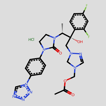 CC(=O)OCN1C=NN(C[C@](O)(c2ccc(F)cc2F)[C@@H](C)N2CCN(c3ccc(-n4cnnn4)cc3)C2=O)C1.Cl